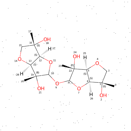 C[C@]1(O)CO[C@H]2[C@@H]1OC(OC1O[C@H]3[C@H](OC[C@]3(C)O)[C@@]1(C)O)[C@]2(C)O